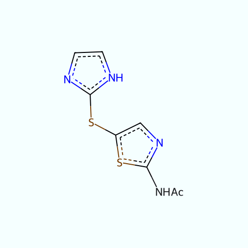 CC(=O)Nc1ncc(Sc2ncc[nH]2)s1